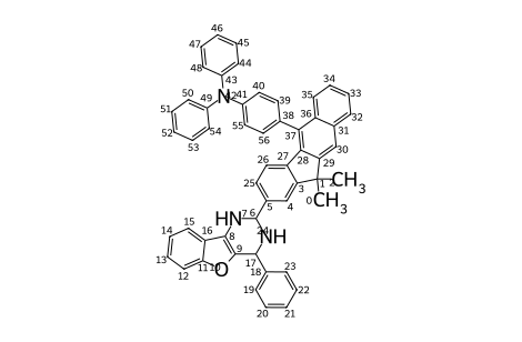 CC1(C)c2cc(C3Nc4c(oc5ccccc45)C(c4ccccc4)N3)ccc2-c2c1cc1ccccc1c2-c1ccc(N(c2ccccc2)c2ccccc2)cc1